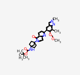 COCOc1c(-c2ccc3c(=O)n(C45CCC(NC(=O)OC(C)(C)C)(CC4)C5)ccc3n2)cc2cn(C)nc2c1C